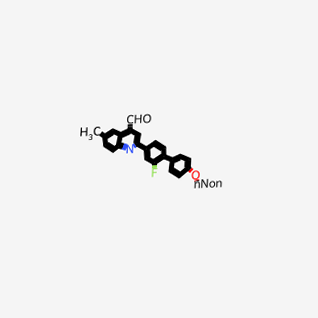 CCCCCCCCCOc1ccc(-c2ccc(-c3cc(C=O)c4cc(C)ccc4n3)cc2F)cc1